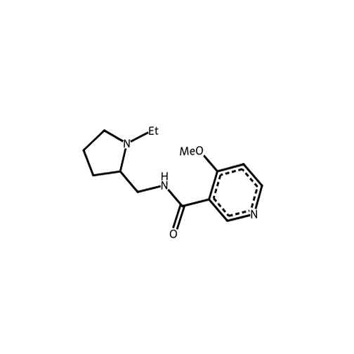 CCN1CCCC1CNC(=O)c1cnccc1OC